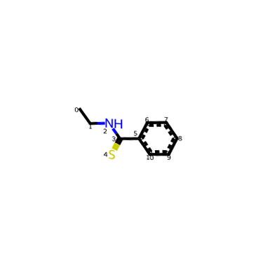 CCNC(=S)c1ccccc1